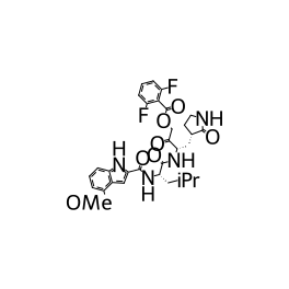 COc1cccc2[nH]c(C(=O)N[C@@H](CC(C)C)C(=O)N[C@@H](C[C@@H]3CCNC3=O)C(=O)COC(=O)c3c(F)cccc3F)cc12